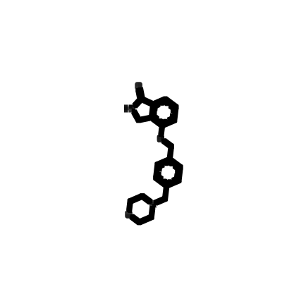 O=C1NCc2c(OCc3ccc(CN4CCOCC4)cc3)cccc21